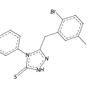 Cc1ccc(Br)c(Cc2n[nH]c(=S)n2-c2ccccc2)c1